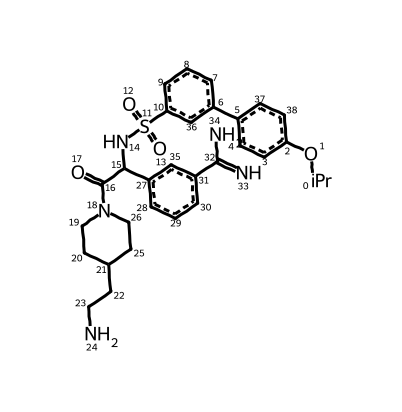 CC(C)Oc1ccc(-c2cccc(S(=O)(=O)NC(C(=O)N3CCC(CCN)CC3)c3cccc(C(=N)N)c3)c2)cc1